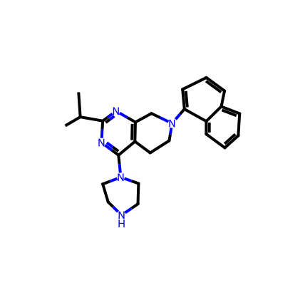 CC(C)c1nc2c(c(N3CCNCC3)n1)CCN(c1cccc3ccccc13)C2